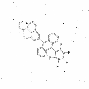 Fc1c(F)c(F)c(-c2c3ccccc3c(-c3cc4ccc5cccc6ccc(c3)c4c56)c3ccccc23)c(F)c1F